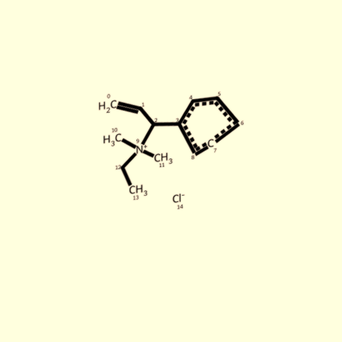 C=CC(c1ccccc1)[N+](C)(C)CC.[Cl-]